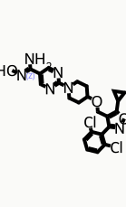 N/C(=N\O)c1cnc(N2CCC(OCc3c(-c4c(Cl)cccc4Cl)noc3C3CC3)CC2)nc1